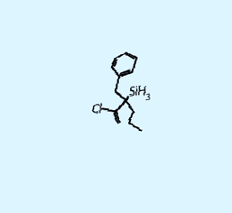 C=C(Cl)C([SiH3])(CCC)Cc1ccccc1